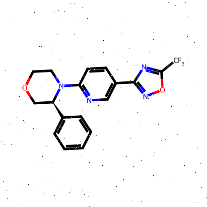 FC(F)(F)c1nc(-c2ccc(N3CCOC[C@@H]3c3ccccc3)nc2)no1